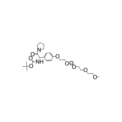 COCCOCCOOOCCOc1ccc([C@H](NC(=O)OC(C)(C)C)C(=O)N2CCCC2)cc1